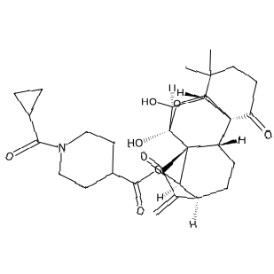 C=C1C(=O)[C@]23[C@H](OC(=O)C4CCN(C(=O)C5CC5)CC4)[C@H]1CC[C@H]2[C@@]12CO[C@@]3(O)[C@@H](O)[C@@H]1C(C)(C)CCC2=O